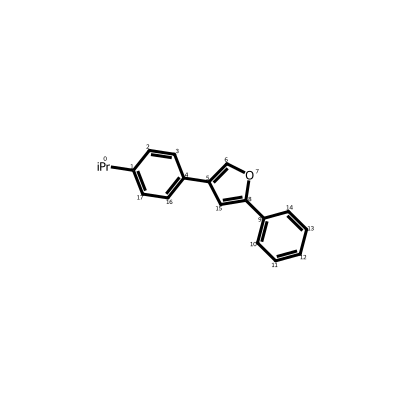 CC(C)c1ccc(-c2coc(-c3ccccc3)c2)cc1